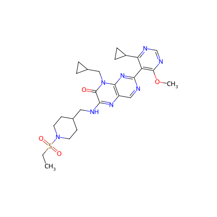 CCS(=O)(=O)N1CCC(CNc2nc3cnc(-c4c(OC)ncnc4C4CC4)nc3n(CC3CC3)c2=O)CC1